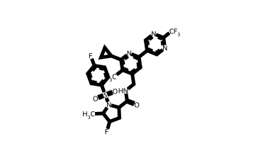 CC1C(F)CC(C(=O)NCc2cc(-c3cnc(C(F)(F)F)nc3)nc(C3CC3)c2C(F)(F)F)N1S(=O)(=O)c1ccc(F)cc1